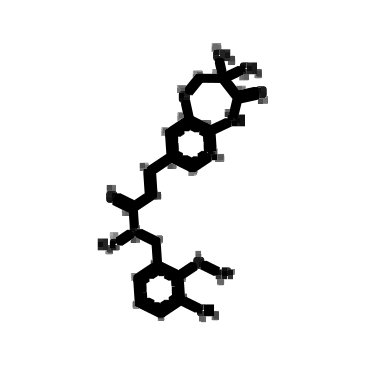 CCCOc1c(C)cccc1CN(C)C(=O)/C=C/c1cnc2c(c1)OCC(C)(C)C(=O)N2